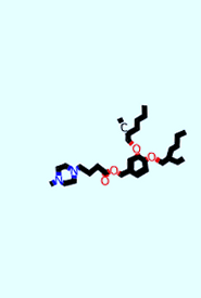 CCCCC(CC)COC1C=CC(COC(=O)CCCN2CCN(C)CC2)=CC1OCC(CC)CCCC